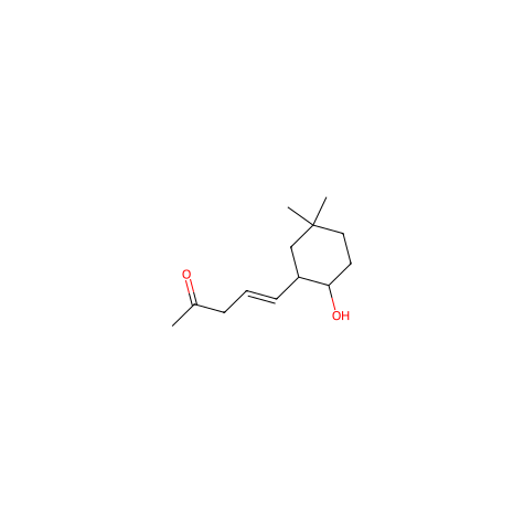 CC(=O)CC=CC1CC(C)(C)CCC1O